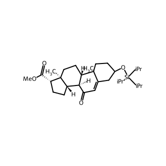 COC(=O)[C@H]1CC[C@H]2[C@@H]3C(=O)C=C4CC(O[Si](C(C)C)(C(C)C)C(C)C)CC[C@]4(C)[C@H]3CC[C@]12C